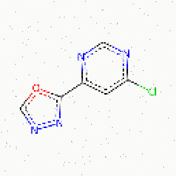 Clc1cc(-c2nnco2)ncn1